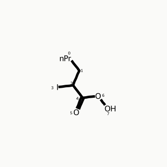 CCCCC(I)C(=O)OO